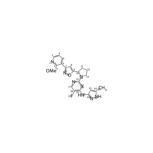 COc1ncccc1-c1cc(C2CCCN2c2ncc(F)c(Nc3cc(C)[nH]n3)n2)on1